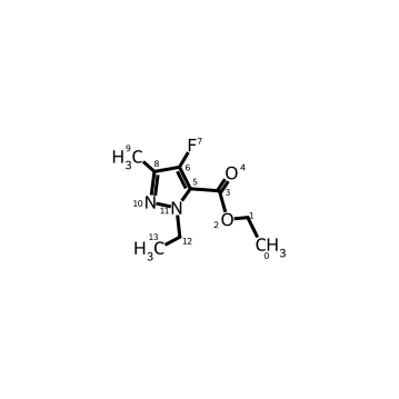 CCOC(=O)c1c(F)c(C)nn1CC